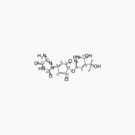 CC(C)(O)C1=CC(Oc2c(Cl)cc(-n3nc(N)c(=O)[nH]c3=O)cc2Cl)=NNC1O